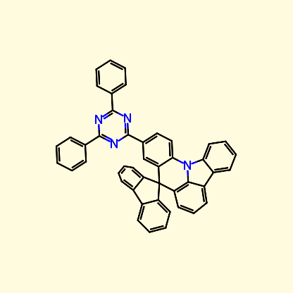 c1ccc(-c2nc(-c3ccccc3)nc(-c3ccc4c(c3)C3(c5ccccc5-c5ccccc53)c3cccc5c6ccccc6n-4c35)n2)cc1